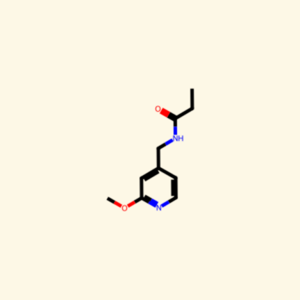 CCC(=O)NCc1ccnc(OC)c1